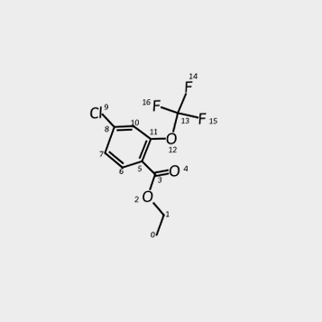 CCOC(=O)c1ccc(Cl)cc1OC(F)(F)F